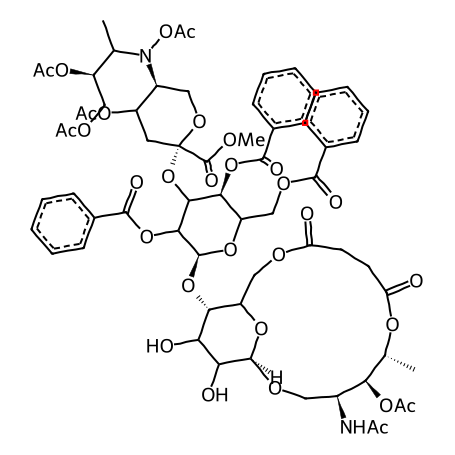 COC(=O)[C@@]1(OC2C(OC(=O)c3ccccc3)[C@H](O[C@@H]3C4COC(=O)CCC(=O)O[C@H](C)[C@@H](OC(C)=O)[C@@H](NC(C)=O)CO[C@H](O4)C(O)C3O)OC(COC(=O)c3ccccc3)[C@@H]2OC(=O)c2ccccc2)CC(OC(C)=O)[C@@H](N(OC(C)=O)C(C)[C@@H](COC(C)=O)OC(C)=O)CO1